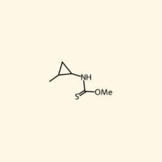 COC(=S)NC1CC1C